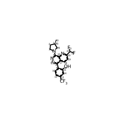 C[C@@H]1CCN(c2nnc(-c3ccc(C(F)(F)F)cc3O)c3ccc(C(F)F)nc23)C1